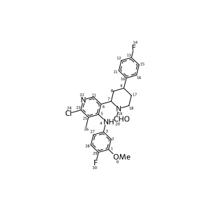 COc1cc(Nc2c(C3CC(c4ccc(F)cc4)CCN3C=O)cnc(Cl)c2C)ccc1F